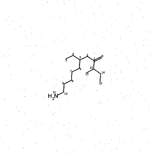 C=C(CC(CC)CCCCCN)C(C)CC